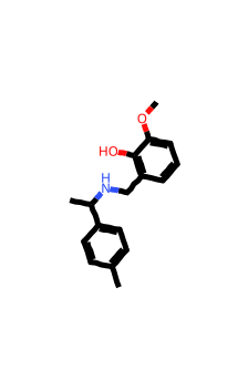 COc1cccc(CNC(C)c2ccc(C)cc2)c1O